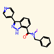 O=C(c1cccc2c(-c3ccncc3)n[nH]c12)N(I)Cc1ccccc1